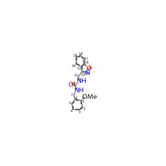 COc1ccccc1CNC(=O)NCc1noc2ccccc12